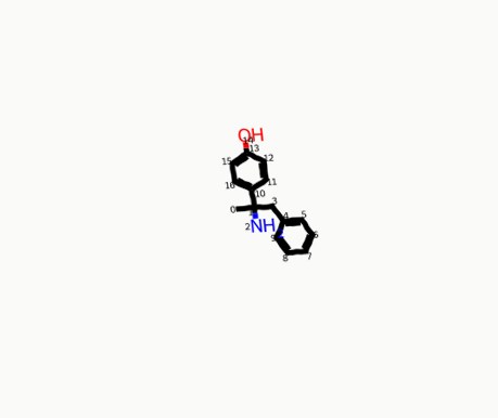 CC(N)(Cc1ccccc1)c1ccc(O)cc1